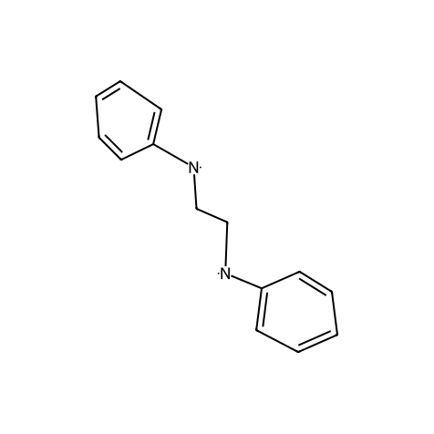 c1ccc([N]CC[N]c2ccccc2)cc1